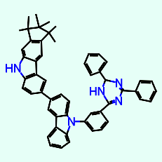 CC1(C)c2cc3[nH]c4ccc(-c5ccc6c(c5)c5ccccc5n6-c5cccc(C6=NC(c7ccccc7)=NC(c7ccccc7)N6)c5)cc4c3cc2C(C)(C)C1(C)C